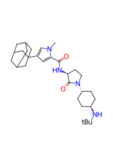 Cn1cc(C23CC4CC(CC(C4)C2)C3)cc1C(=O)N[C@H]1CCN([C@H]2CC[C@H](NC(C)(C)C)CC2)C1=O